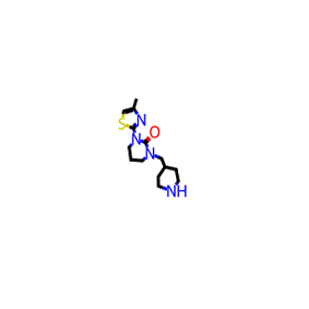 Cc1csc(N2CCCN(CC3CCNCC3)C2=O)n1